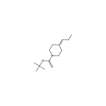 CCC=C1CCN(C(=O)OC(C)(C)C)CC1